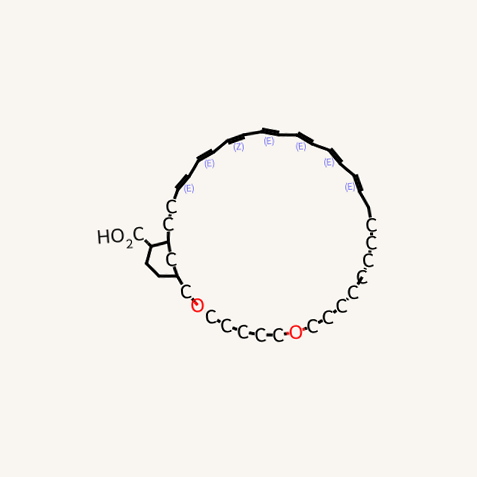 O=C(O)C1CCC2COCCCCCOCCCCCCCCC/C=C/C=C/C=C/C=C/C=C\C=C\C=C\CCC1C2